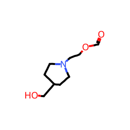 O=COCCN1CCC(CO)CC1